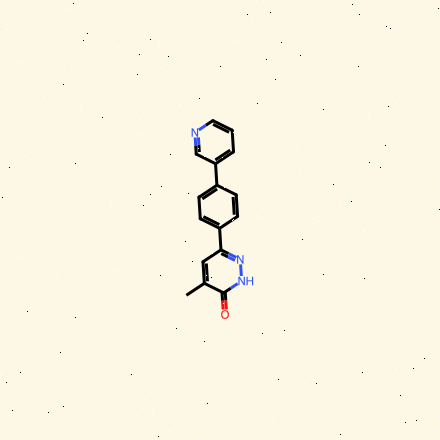 Cc1cc(-c2ccc(-c3cccnc3)cc2)n[nH]c1=O